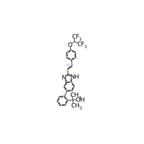 CC(C)(O)c1ccccc1-c1ccc2[nH]c(/C=C/c3ccc(OC(C(F)(F)F)C(F)(F)F)cc3)nc2c1